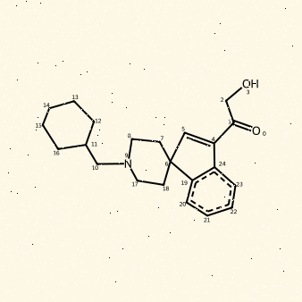 O=C(CO)C1=CC2(CCN(CC3CCCCC3)CC2)c2ccccc21